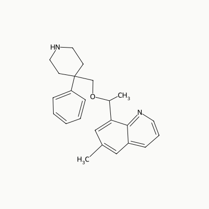 Cc1cc(C(C)OCC2(c3ccccc3)CCNCC2)c2ncccc2c1